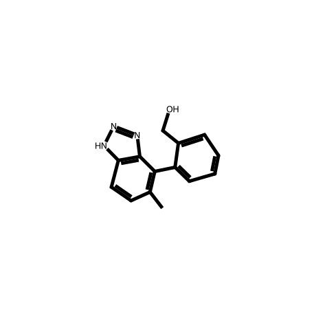 Cc1ccc2[nH]nnc2c1-c1ccccc1CO